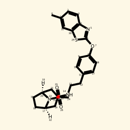 Cc1ccc2nc(Oc3ccc(CCNC4C[C@H]5CC[C@@H](C4)N5S(C)(=O)=O)cc3)sc2c1